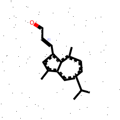 Cc1cc(/C=C/C=O)c2c(C)ccc(C(C)C)cc1-2